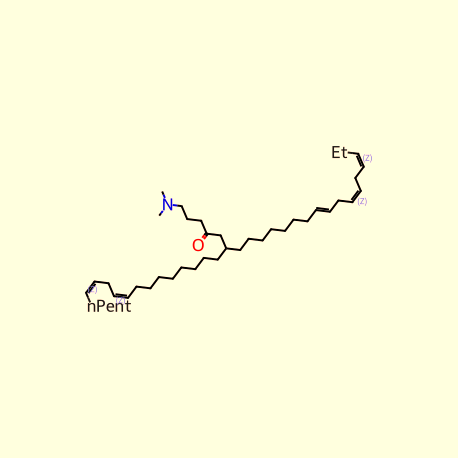 CC/C=C\C/C=C\CC=CCCCCCCCC(CCCCCCCC/C=C\C/C=C\CCCCC)CC(=O)CCCN(C)C